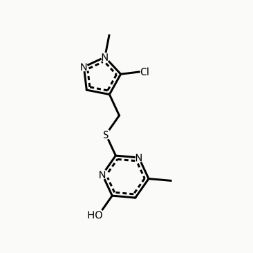 Cc1cc(O)nc(SCc2cnn(C)c2Cl)n1